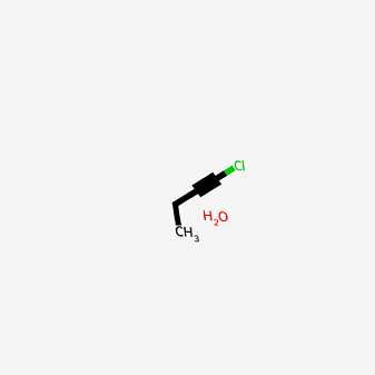 CCC#CCl.O